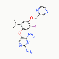 CC(C)c1cc(OCc2cnccn2)c(I)cc1Oc1cnc(N)nc1N